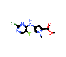 COC(=O)c1cc(Nc2nc(Cl)ncc2F)cn1C